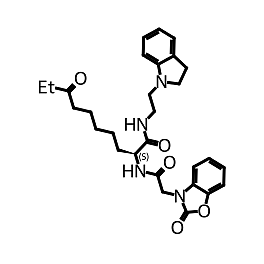 CCC(=O)CCCCC[C@H](NC(=O)Cn1c(=O)oc2ccccc21)C(=O)NCCN1CCc2ccccc21